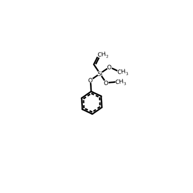 C=C[Si](OC)(OC)Oc1ccccc1